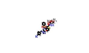 CC(C)C[C@H](NC(=O)c1cc2c(N(Cc3cncn3Cc3ccc(C#N)cc3)S(=O)(=O)c3ccccc3)cccc2s1)C(=O)O